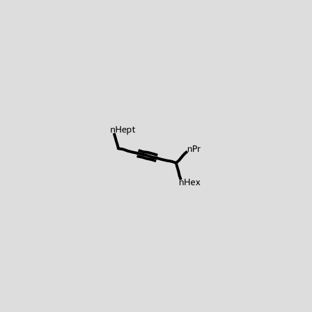 [CH2]CCCCCC(C#CCCCCCCCC)CCC